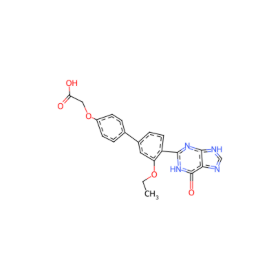 CCOc1cc(-c2ccc(OCC(=O)O)cc2)ccc1-c1nc2[nH]cnc2c(=O)[nH]1